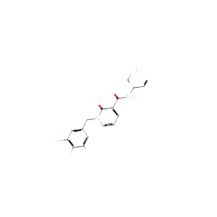 C=C[C@H](CO)NC(=O)c1cccn(Cc2cc(F)c(F)c(F)c2)c1=O